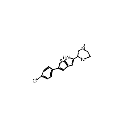 CN1CC[N]C(c2cc3cc(-c4ccc(Cl)cc4)sc3[nH]2)C1